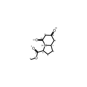 COC(=O)C1CCC2CC(=O)CC(=O)N21